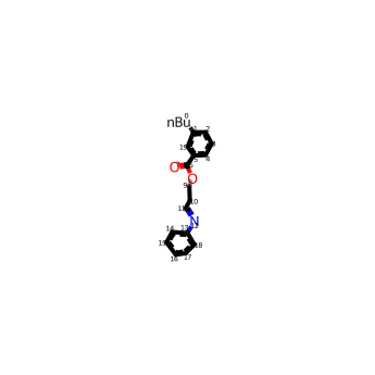 CCCCc1cccc(C(=O)OCCC=Nc2ccccc2)c1